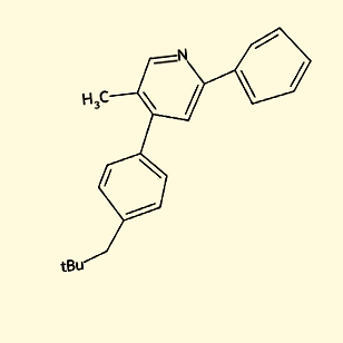 Cc1cnc(-c2ccccc2)cc1-c1ccc(CC(C)(C)C)cc1